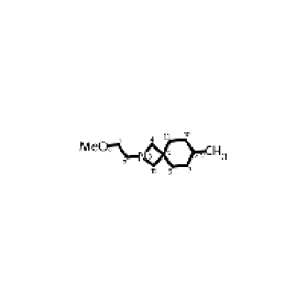 COCCN1CC2(CCC(C)CC2)C1